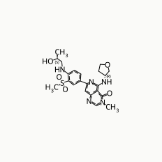 C[C@H](O)CNc1ccc(-c2cc3ncn(C)c(=O)c3c(N[C@@H]3CCOC3)n2)cc1S(C)(=O)=O